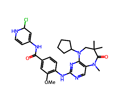 COc1cc(C(=O)NC2=CC(Cl)NC=C2)ccc1Nc1ncc2c(n1)N(C1CCCC1)CC(C)(C)C(=O)N2C